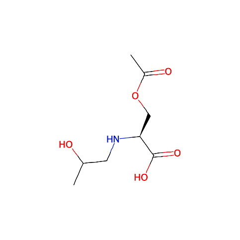 CC(=O)OC[C@H](NCC(C)O)C(=O)O